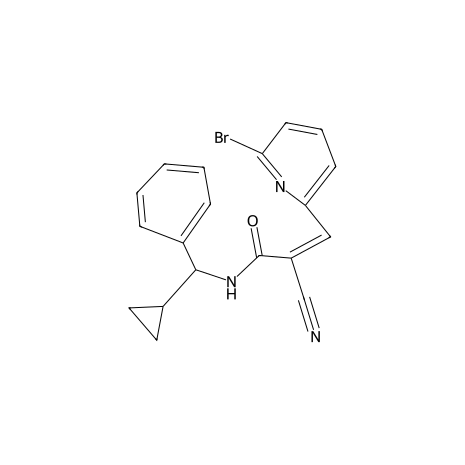 N#CC(=Cc1cccc(Br)n1)C(=O)NC(c1ccccc1)C1CC1